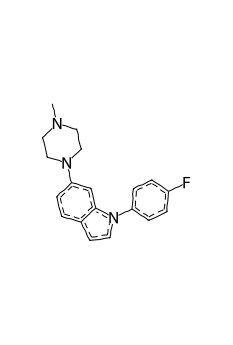 CN1CCN(c2ccc3ccn(-c4ccc(F)cc4)c3c2)CC1